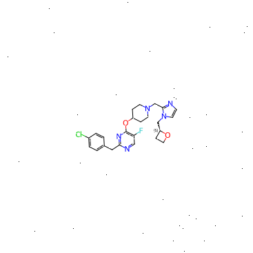 Fc1cnc(Cc2ccc(Cl)cc2)nc1OC1CCN(Cc2nccn2C[C@@H]2CCO2)CC1